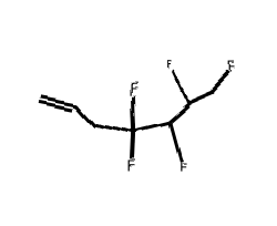 C=CCC(F)(F)C(F)C(F)CF